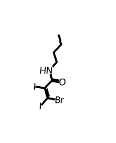 CCCCNC(=O)/C(I)=C(\Br)I